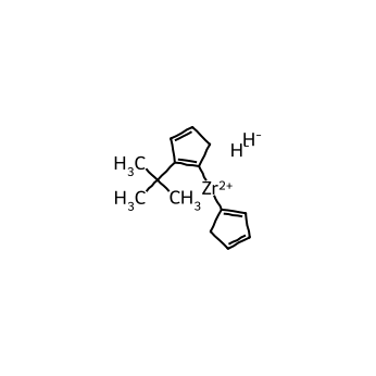 CC(C)(C)C1=[C]([Zr+2][C]2=CC=CC2)CC=C1.[H-].[H-]